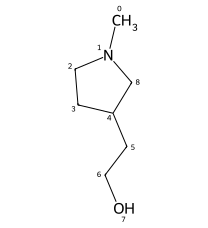 CN1CCC(CCO)C1